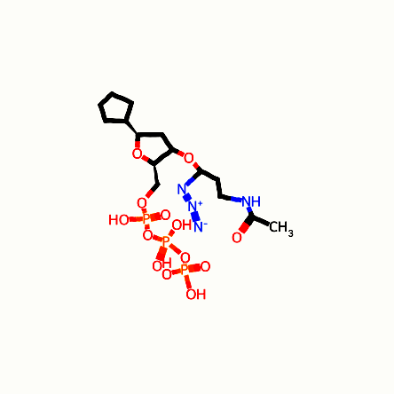 CC(=O)NCCC(N=[N+]=[N-])OC1C[C@H](C2CCCC2)O[C@@H]1COP(=O)(O)OP(=O)(O)OP(=O)(O)O